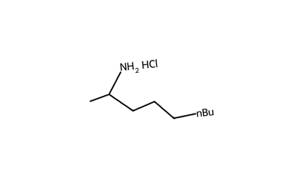 CCCCCCCC(C)N.Cl